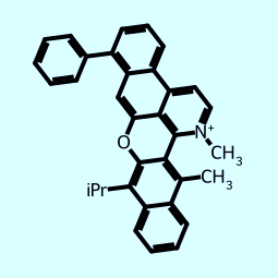 Cc1c2c(c(C(C)C)c3ccccc13)Oc1cc3c(-c4ccccc4)cccc3c3cc[n+](C)c-2c13